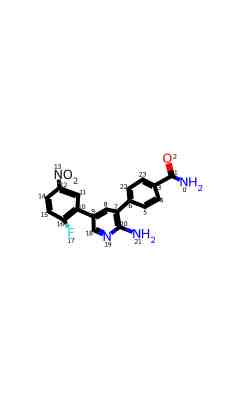 NC(=O)c1ccc(-c2cc(-c3cc([N+](=O)[O-])ccc3F)cnc2N)cc1